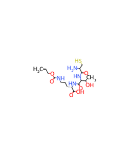 C=CCOC(=O)NCCC[C@H](NC(=O)[C@@H](NC(=O)[C@@H](N)CS)[C@@H](C)O)C(=O)O